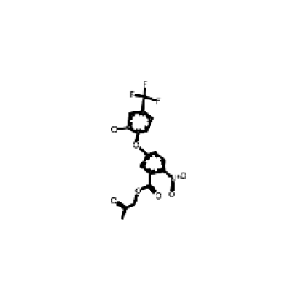 CC(=O)COC(=O)c1cc(Oc2ccc(C(F)(F)F)cc2Cl)ccc1[N+](=O)[O-]